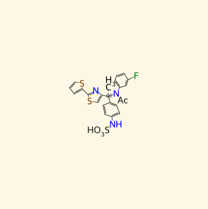 CC(=O)N(c1cccc(F)c1)[C@@](C)(c1ccc(NS(=O)(=O)O)cc1)c1csc(-c2cccs2)n1